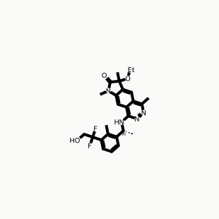 CCOC1(C)C(=O)N(C)c2cc3c(N[C@H](C)c4cccc(C(F)(F)CO)c4C)nnc(C)c3cc21